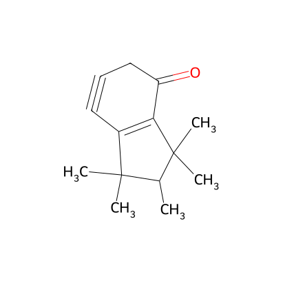 CC1C(C)(C)C2=C(C(=O)CC#C2)C1(C)C